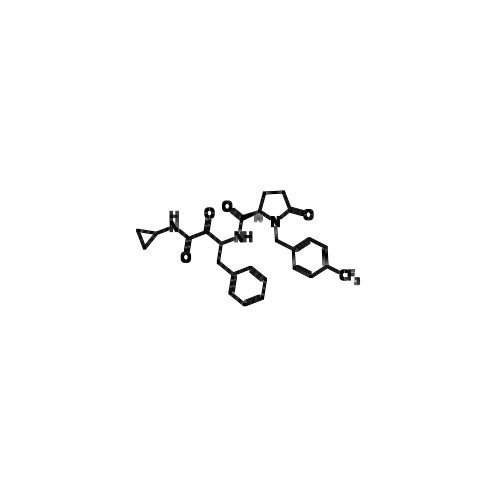 O=C(NC1CC1)C(=O)C(Cc1ccccc1)NC(=O)[C@H]1CCC(=O)N1Cc1ccc(C(F)(F)F)cc1